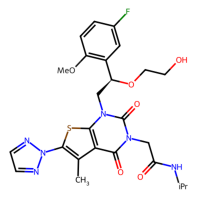 COc1ccc(F)cc1[C@H](Cn1c(=O)n(CC(=O)NC(C)C)c(=O)c2c(C)c(-n3nccn3)sc21)OCCO